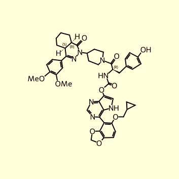 COc1ccc(C2=NN(C3CCN(C(=O)[C@@H](Cc4ccc(O)cc4)NC(=O)Oc4c[nH]c5c(-c6c(OCC7CC7)ccc7c6OCO7)ncnc45)CC3)C(=O)[C@@H]3CCCC[C@H]23)cc1OC